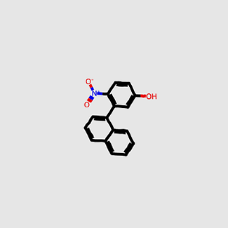 O=[N+]([O-])c1ccc(O)cc1-c1cccc2ccccc12